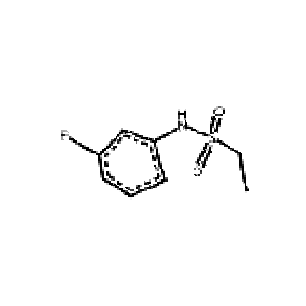 CCS(=O)(=O)Nc1cccc(F)c1